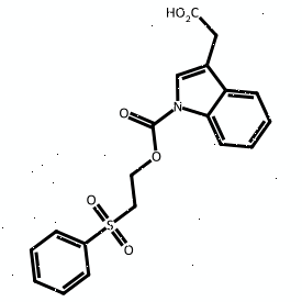 O=C(O)Cc1cn(C(=O)OCCS(=O)(=O)c2ccccc2)c2ccccc12